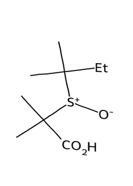 CCC(C)(C)[S+]([O-])C(C)(C)C(=O)O